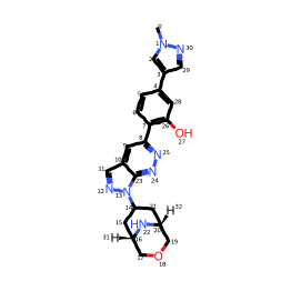 Cn1cc(-c2ccc(-c3cc4cnn(C5C[C@H]6COC[C@@H](C5)N6)c4nn3)c(O)c2)cn1